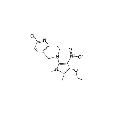 CCOc1c([N+](=O)[O-])c(N(CC)Cc2ccc(Cl)nc2)n(C)c1C